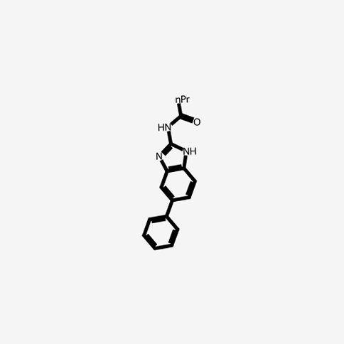 CCCC(=O)Nc1nc2cc(-c3ccccc3)ccc2[nH]1